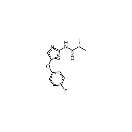 CC(C)C(=O)Nc1ncc(Oc2ccc(F)cc2)s1